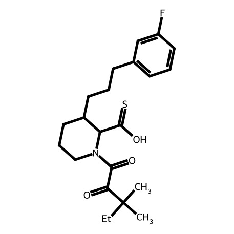 CCC(C)(C)C(=O)C(=O)N1CCCC(CCCc2cccc(F)c2)C1C(O)=S